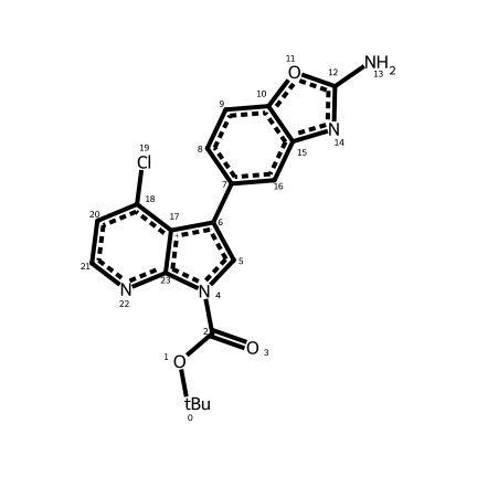 CC(C)(C)OC(=O)n1cc(-c2ccc3oc(N)nc3c2)c2c(Cl)ccnc21